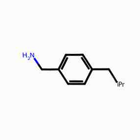 CC(C)Cc1ccc(CN)cc1